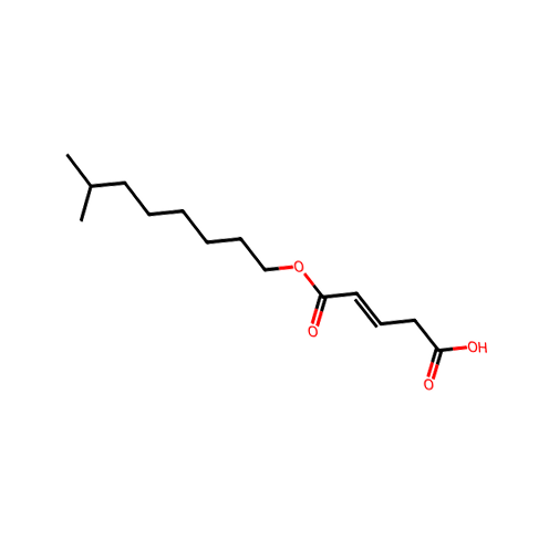 CC(C)CCCCCCOC(=O)C=CCC(=O)O